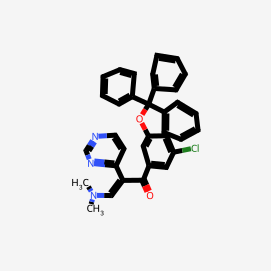 CN(C)C=C(C(=O)c1cc(Cl)cc(OC(c2ccccc2)(c2ccccc2)c2ccccc2)c1)c1ccncn1